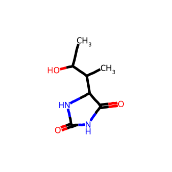 CC(O)C(C)C1NC(=O)NC1=O